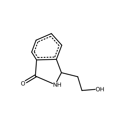 O=C1NC(CCO)c2ccccc21